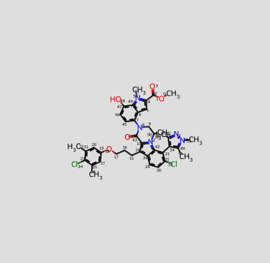 COC(=O)c1cc2c(N3C[C@@H](C)n4c(c(CCCOc5cc(C)c(Cl)c(C)c5)c5ccc(Cl)c(-c6c(C)nn(C)c6C)c54)C3=O)ccc(O)c2n1C